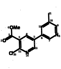 COC(=O)c1cc(-c2cncc(C)c2)cnc1Cl